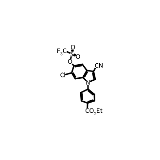 CCOC(=O)c1ccc(-n2cc(C#N)c3cc(OS(=O)(=O)C(F)(F)F)c(Cl)cc32)cc1